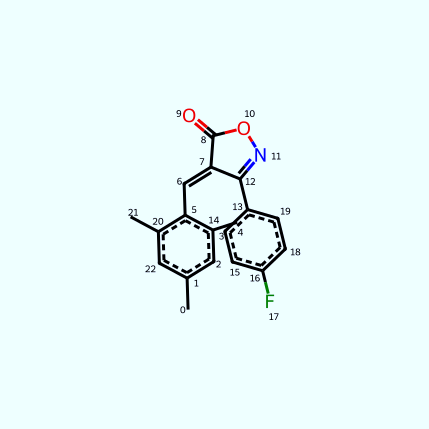 Cc1cc(C)c(/C=C2/C(=O)ON=C2c2ccc(F)cc2)c(C)c1